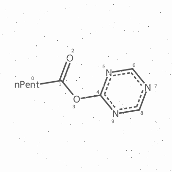 CCCCCC(=O)Oc1ncncn1